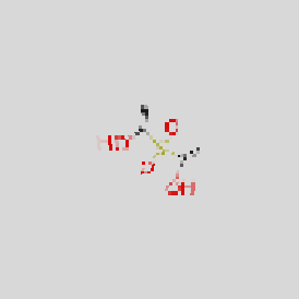 C=C(O)S(=O)(=O)C(=C)O